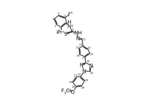 CC(C)c1cccc(F)c1NC(=S)NN=Cc1ccc(-c2ncn(-c3ccc(OC(F)(F)F)cc3)n2)cc1